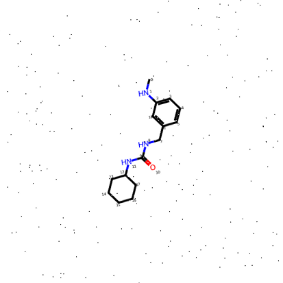 CNc1cccc(CNC(=O)NC2CCCCC2)c1